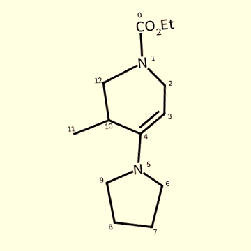 CCOC(=O)N1CC=C(N2CCCC2)C(C)C1